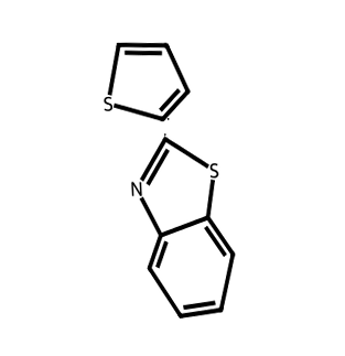 [c]1cccs1.[c]1nc2ccccc2s1